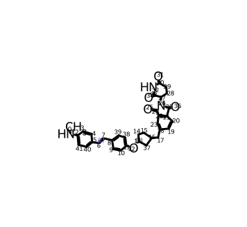 CNc1ccc(/C=C/c2ccc(O[C@H]3CCC(Cc4ccc5c(c4)C(=O)N(C4CCC(=O)NC4=O)C5=O)C3)cc2)cc1